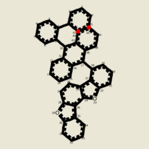 c1ccc(-c2ccccc2-c2c3ccccc3c(-c3cccc4oc5c(ccc6oc7ccccc7c65)c34)c3ccccc23)cc1